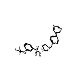 O=S(=O)(N[C@@H]1CCN(Cc2ccc(-c3cncnc3)cc2)C1)c1cccc(OC(F)(F)F)c1